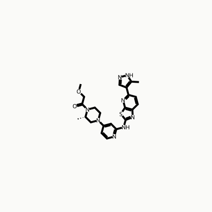 COCC(=O)N1CCN(c2ccnc(Nc3nc4ccc(-c5cn[nH]c5C)nc4s3)c2)C[C@@H]1C